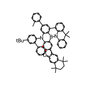 Cc1ccccc1-c1cc2c3c(c1)N(c1ccc(C(C)(C)C)cc1-c1ccccc1)c1cc4oc5cc6c(cc5c4cc1B3N1c3ccccc3C(C)(C)c3cccc-2c31)C(C)(C)CCC6(C)C